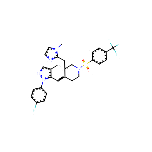 Cn1ccnc1[C@H](O)[C@]12Cc3cnn(-c4ccc(F)cc4)c3C=C1CCN(S(=O)(=O)c1ccc(C(F)(F)F)cc1)C2